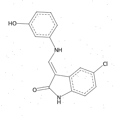 O=C1Nc2ccc(Cl)cc2/C1=C\Nc1cccc(O)c1